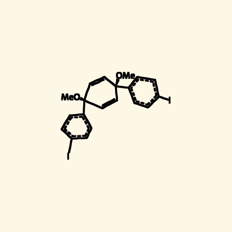 CO[C@]1(c2ccc(I)cc2)C=C[C@@](OC)(c2ccc(I)cc2)C=C1